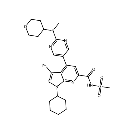 CC(C)c1nn(C2CCCCC2)c2nc(C(=O)NS(C)(=O)=O)cc(-c3cnc(N(C)C4CCOCC4)nc3)c12